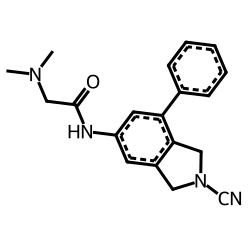 CN(C)CC(=O)Nc1cc2c(c(-c3ccccc3)c1)CN(C#N)C2